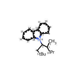 CC(C)C(C)C(CC(C)(C)C)n1c2ccccc2c2ccccc21